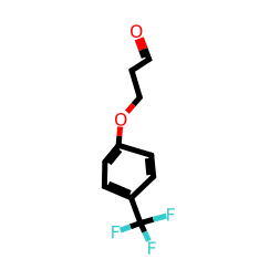 O=CCCOc1ccc(C(F)(F)F)cc1